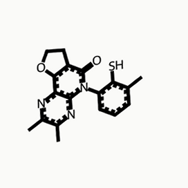 Cc1cccc(-n2c(=O)c3c(c4nc(C)c(C)nc42)OCC3)c1S